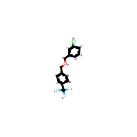 FC(F)(F)c1ccc(COCc2cccc(Cl)c2)cc1